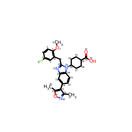 COc1ccc(F)cc1Cc1nc2cc(-c3c(C)noc3C)ccc2n1C1CCC(C(=O)O)CC1